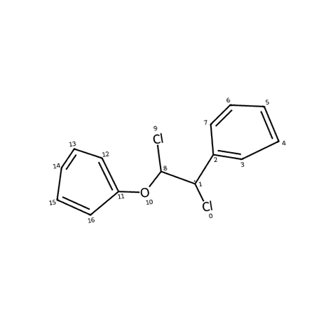 Cl[C](c1ccccc1)C(Cl)Oc1ccccc1